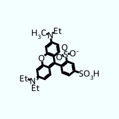 CCN(C)c1ccc2c(-c3ccc(S(=O)(=O)O)cc3S(=O)(=O)[O-])c3ccc(=[N+](CC)CC)cc-3oc2c1